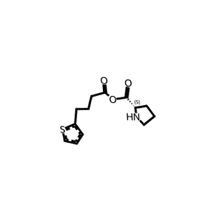 O=C(CCCc1cccs1)OC(=O)[C@@H]1CCCN1